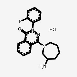 Cl.NC1CCCCN(c2nn(-c3ccccc3F)c(=O)c3ccccc23)C1